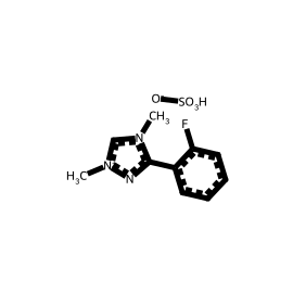 Cn1c[n+](C)nc1-c1ccccc1F.O=S(=O)([O-])O